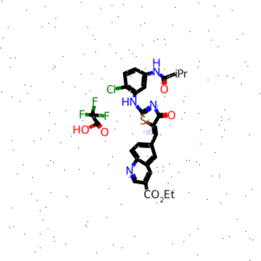 CCOC(=O)c1cnc2ccc(/C=C3\SC(Nc4cc(NC(=O)C(C)C)ccc4Cl)=NC3=O)cc2c1.O=C(O)C(F)(F)F